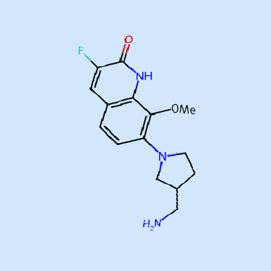 COc1c(N2CCC(CN)C2)ccc2cc(F)c(=O)[nH]c12